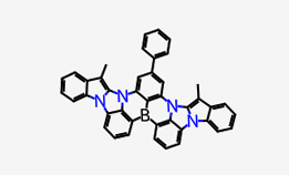 Cc1c2ccccc2n2c3cccc4c3n(c12)-c1cc(-c2ccccc2)cc2c1B4c1cccc3c1n-2c1c(C)c2ccccc2n31